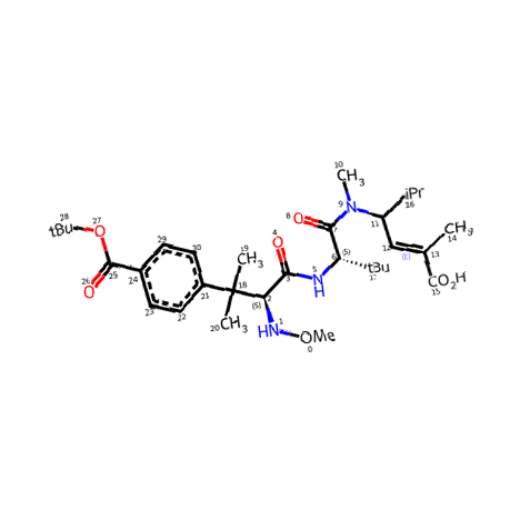 CON[C@H](C(=O)N[C@H](C(=O)N(C)C(/C=C(\C)C(=O)O)C(C)C)C(C)(C)C)C(C)(C)c1ccc(C(=O)OC(C)(C)C)cc1